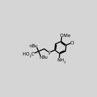 CCCCC(CCCC)(CSc1cc(OC)c(Cl)cc1N)C(=O)O